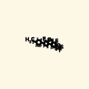 CCC1CCC(c2ccc3c(c2F)OCc2c-3ccc(OC(F)(F)F)c2F)CC1